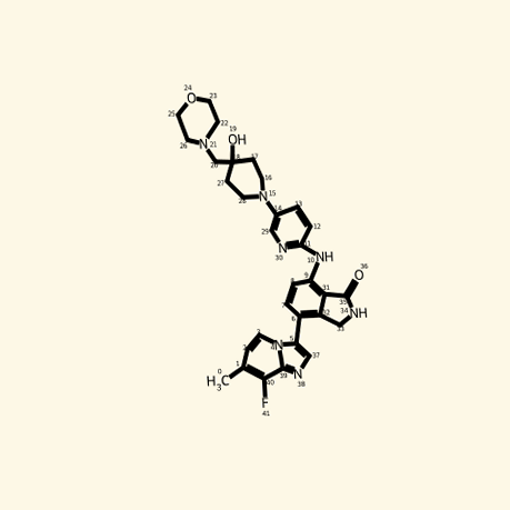 Cc1ccn2c(-c3ccc(Nc4ccc(N5CCC(O)(CN6CCOCC6)CC5)cn4)c4c3CNC4=O)cnc2c1F